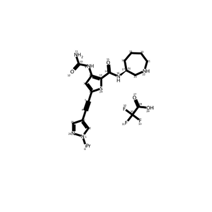 CC(C)n1cc(C#Cc2cc(NC(N)=O)c(C(=O)N[C@H]3CCCCNC3)s2)cn1.O=C(O)C(F)(F)F